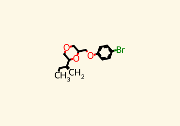 C=C(CC)C1COCC(COc2ccc(Br)cc2)O1